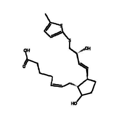 Cc1ccc(SC[C@H](O)/C=C/[C@H]2CCC(O)[C@@H]2C/C=C\CCCC(=O)O)s1